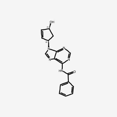 O=C(Nc1ncnc2c1ncn2[C@H]1C=C[C@@H](O)C1)c1ccccc1